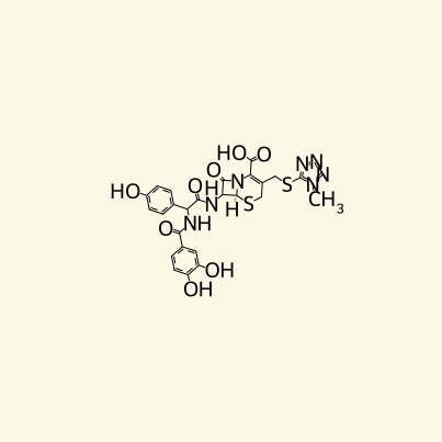 Cn1nnnc1SCC1=C(C(=O)O)N2C(=O)C(NC(=O)C(NC(=O)c3ccc(O)c(O)c3)c3ccc(O)cc3)[C@@H]2SC1